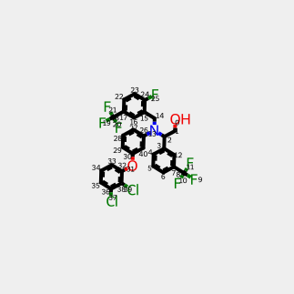 OCC(c1cccc(C(F)(F)F)c1)N(Cc1cc(C(F)(F)F)ccc1F)c1cccc(Oc2cccc(Cl)c2Cl)c1